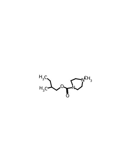 CCC(C)COC(=O)N1CCN(C)CC1